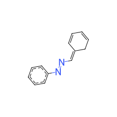 C1=CCC(=CN=Nc2ccccc2)C=C1